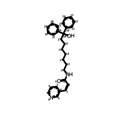 O=C(/C=C\c1cccnc1)NCCCCCCCC(O)(c1ccccc1)c1ccccc1